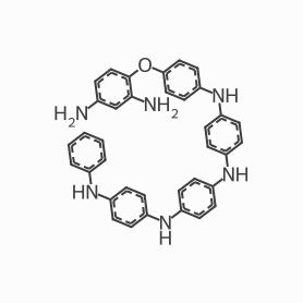 Nc1ccc(Oc2ccc(Nc3ccc(Nc4ccc(Nc5ccc(Nc6ccccc6)cc5)cc4)cc3)cc2)c(N)c1